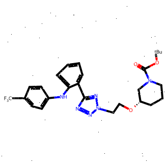 CC(C)(C)OC(=O)N1CCC[C@H](OCCn2nnc(-c3ccccc3Nc3ccc(C(F)(F)F)cc3)n2)C1